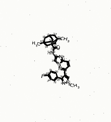 Cn1cc(-c2ccc3nc(NC(=O)C45CC6CC(C)(CC(C)(C6)C4)C5)cn3n2)c(-c2ccc(F)cc2)n1